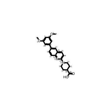 COc1cc(OC)cc(-c2ccc3nc(N4CCC(C(=O)O)CC4)ccc3c2)c1